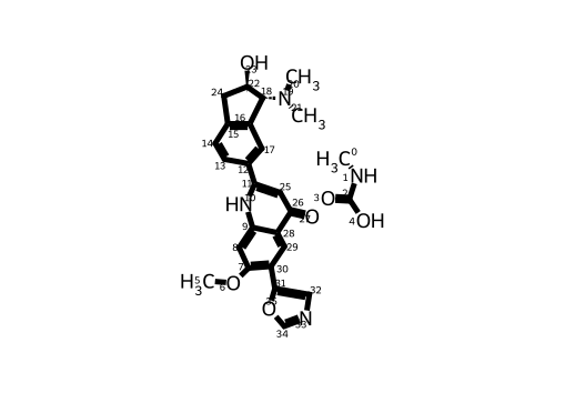 CNC(=O)O.COc1cc2[nH]c(-c3ccc4c(c3)[C@@H](N(C)C)[C@H](O)C4)cc(=O)c2cc1-c1cnco1